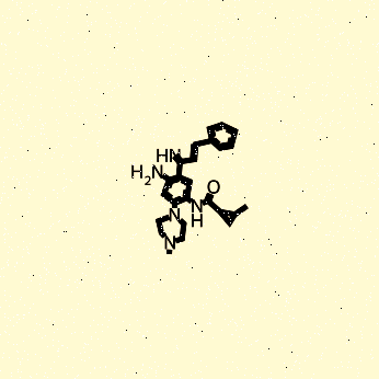 CC1CC1C(=O)Nc1cc(C(=N)/C=C/c2ccccc2)c(N)cc1N1CCN(C)CC1